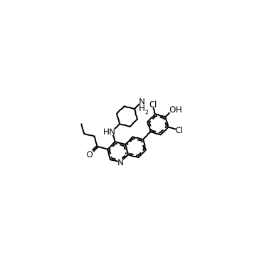 CCCC(=O)c1cnc2ccc(-c3cc(Cl)c(O)c(Cl)c3)cc2c1NC1CCC(N)CC1